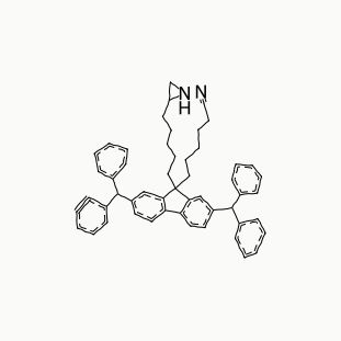 N#CCCCCCC1(CCCCCC2CN2)c2cc(C(c3c#cccc3)c3ccccc3)ccc2-c2ccc(C(c3ccccc3)c3ccccc3)cc21